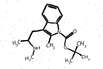 CNC(C)Cc1c(C)n(C(=O)OC(C)(C)C)c2ccccc12